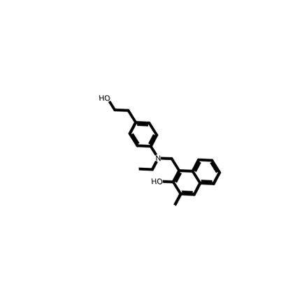 CCN(Cc1c(O)c(C)cc2ccccc12)c1ccc(CCO)cc1